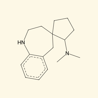 CN(C)C1CCCC12CCNc1ccccc1C2